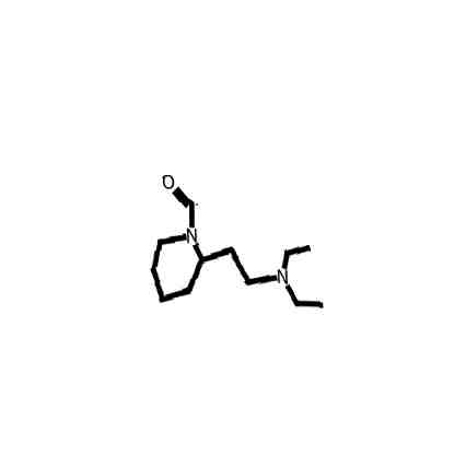 CCN(CC)CCC1CCCCN1[C]=O